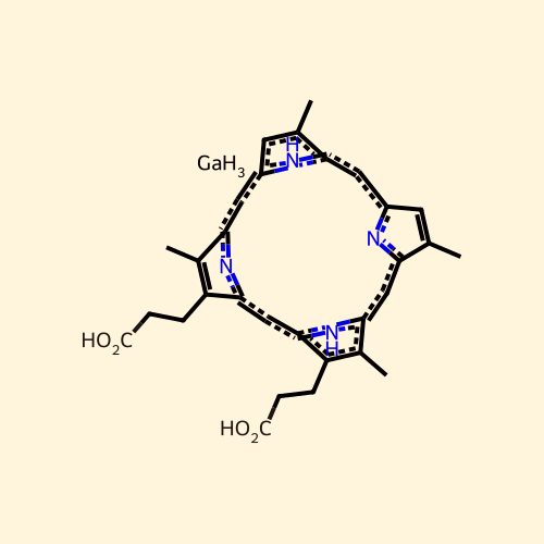 CC1=Cc2cc3[nH]c(cc4nc(cc5[nH]c(cc1n2)c(C)c5CCC(=O)O)C(CCC(=O)O)=C4C)cc3C.[GaH3]